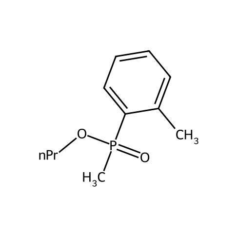 CCCOP(C)(=O)c1ccccc1C